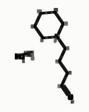 Cl.Cl.O=CCCCN1CCCCC1